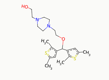 Cc1cc(C(OCCN2CCN(CCO)CC2)c2cc(C)sc2C)c(C)s1